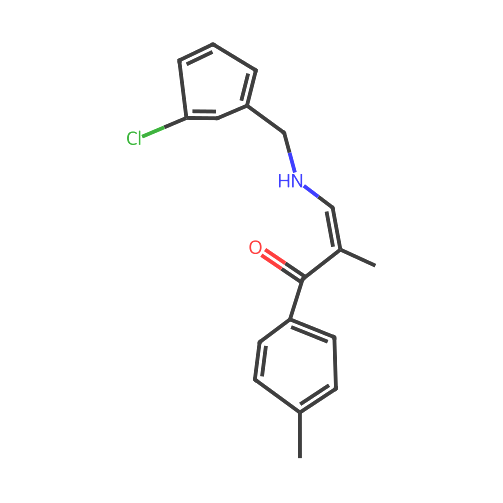 CC(=CNCc1cccc(Cl)c1)C(=O)c1ccc(C)cc1